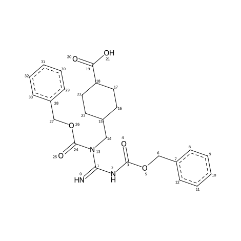 N=C(NC(=O)OCc1ccccc1)N(CC1CCC(C(=O)O)CC1)C(=O)OCc1ccccc1